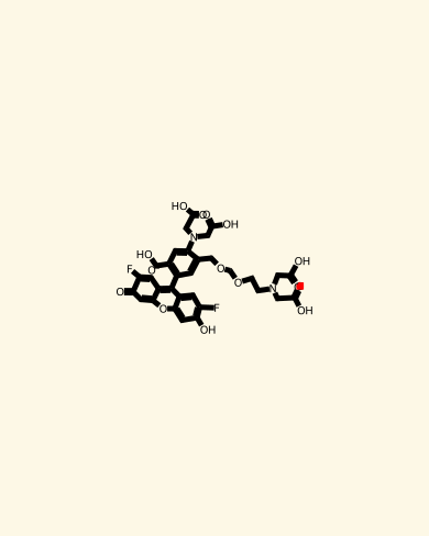 O=C(O)CN(CCOCOCc1cc(-c2c3cc(F)c(=O)cc-3oc3cc(O)c(F)cc23)c(C(=O)O)cc1N(CC(=O)O)CC(=O)O)CC(=O)O